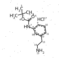 CC(C)(C)OC(=O)Nc1cccc(CCN)n1.Cl